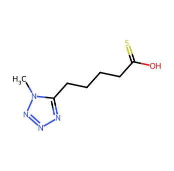 Cn1nnnc1CCCCC(O)=S